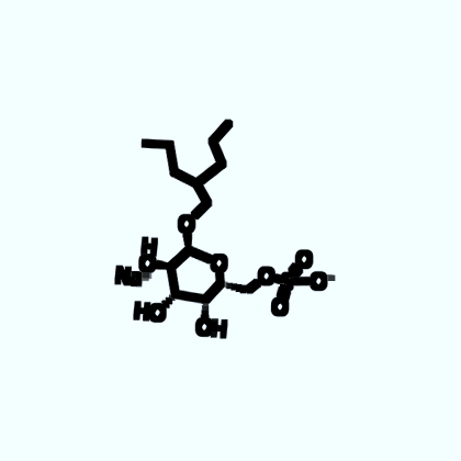 CCCC(CCC)CO[C@H]1O[C@H](COS(=O)(=O)[O-])[C@H](O)[C@H](O)[C@H]1O.[Na+]